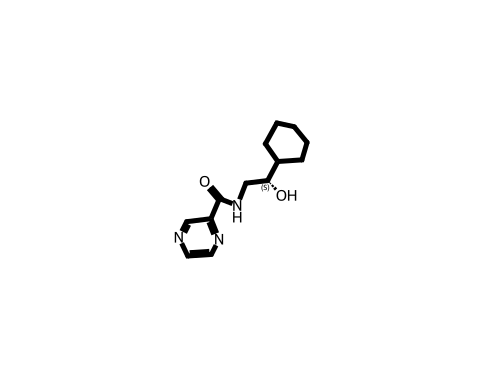 O=C(NC[C@@H](O)C1CCCCC1)c1cnccn1